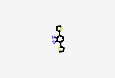 [c]1ccc(-c2ccc(-c3cccs3)c3nsnc23)s1